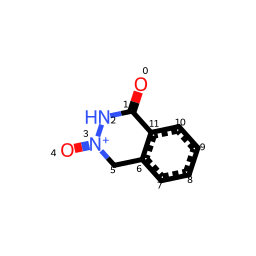 O=C1N[N+](=O)Cc2ccccc21